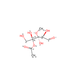 CO[C@@](O)([C@@H](O)C=O)[C@@](O)(CO)OC(C)=O